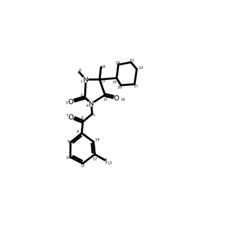 CN1C(=O)N(CC(=O)c2cccc(I)c2)C(=O)C1(C)C1CCCCC1